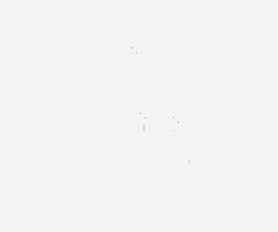 O=c1c2cc(F)ccc2ncn1CC1CCNCC12CCCC2